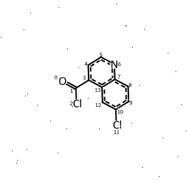 O=C(Cl)c1ccnc2ccc(Cl)cc12